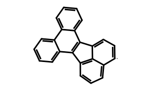 [c]1ccc2c3c(cccc13)-c1c-2c2ccccc2c2ccccc12